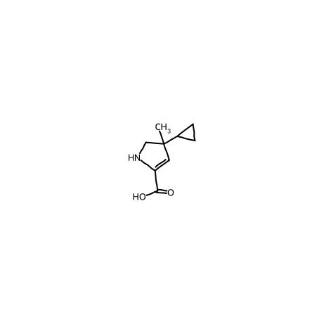 CC1(C2CC2)C=C(C(=O)O)NC1